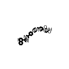 O=C1CCN(c2ccc(CN3CCN(c4ccc(-c5cnc6c(-c7ccnc8ccccc78)cnn6c5)cc4)CC3)nc2)C(=O)N1